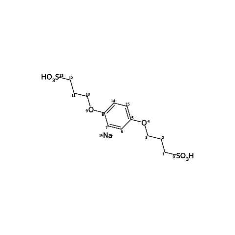 O=S(=O)(O)CCCOc1ccc(OCCCS(=O)(=O)O)cc1.[Na]